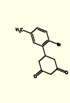 Cc1ccc(Br)c(C2CC(=O)CC(=O)C2)c1